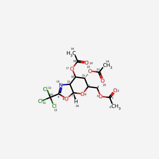 CC(=O)OCC1O[C@@H]2OC(C(Cl)(Cl)Cl)=NC2C(OC(C)=O)[C@@H]1OC(C)=O